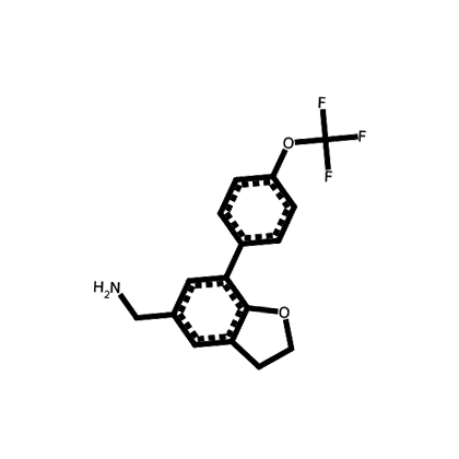 NCc1cc2c(c(-c3ccc(OC(F)(F)F)cc3)c1)OCC2